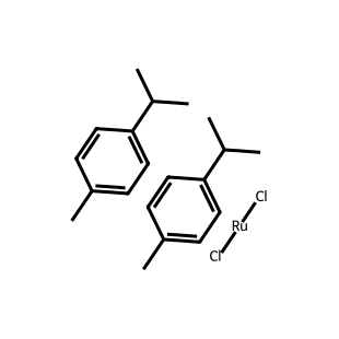 Cc1ccc(C(C)C)cc1.Cc1ccc(C(C)C)cc1.[Cl][Ru][Cl]